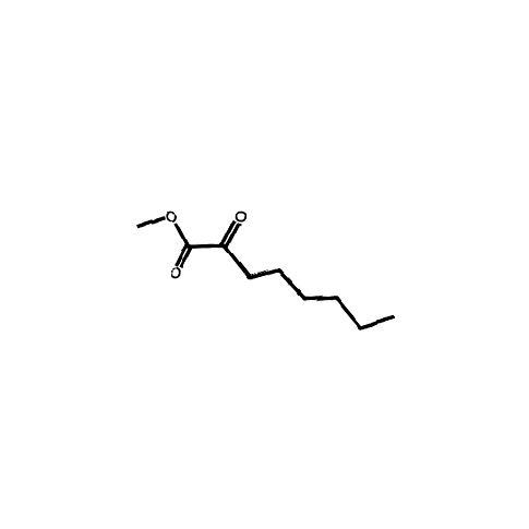 CCCCCCC(=O)C(=O)OC